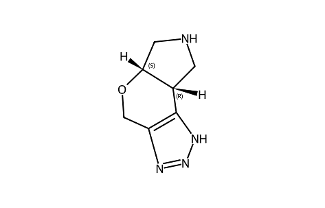 C1O[C@@H]2CNC[C@@H]2c2[nH]nnc21